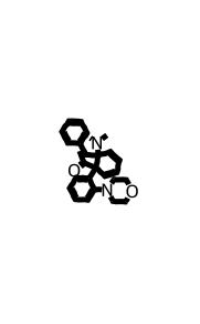 CC(=O)C1(c2ccccc2N2CCOCC2)C=CC=CC1(Cc1ccccc1)N(C)C